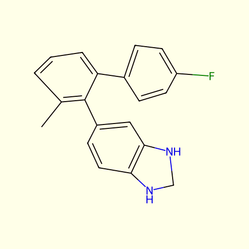 Cc1cccc(-c2ccc(F)cc2)c1-c1ccc2c(c1)NCN2